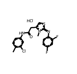 Cc1ccc(NC(=O)Cc2csc(=Nc3ccc(F)cc3F)n2C)cc1Cl.Cl